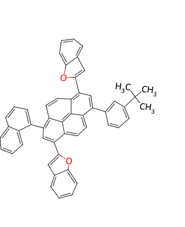 CC(C)(C)c1cccc(-c2cc(-c3cc4ccccc4o3)c3ccc4c(-c5cccc6ccccc56)cc(-c5cc6ccccc6o5)c5ccc2c3c54)c1